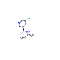 O=CCC(NC(=O)O)c1cncc(Cl)c1